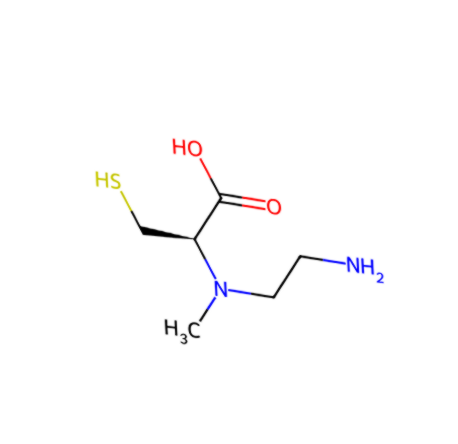 CN(CCN)[C@@H](CS)C(=O)O